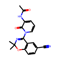 CC(=O)Nc1cccn(C2=NC(C)(C)Oc3ccc(C#N)cc32)c1=O